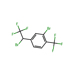 FC(F)(F)c1ccc(C(Br)C(F)(F)F)cc1Br